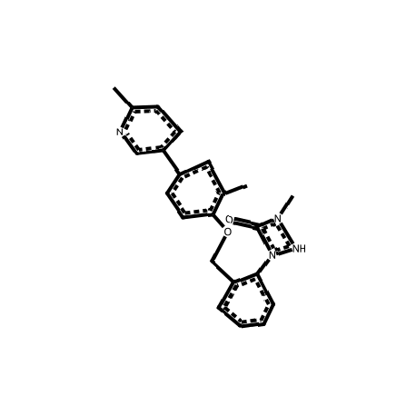 Cc1ccc(-c2ccc(OCc3ccccc3-n3[nH]n(C)c3=O)c(C)c2)cn1